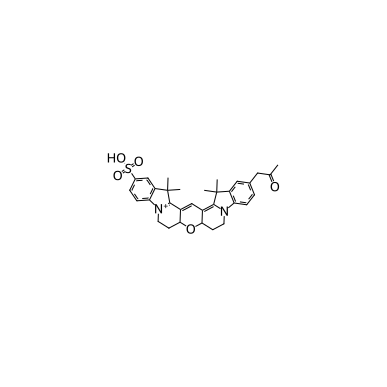 CC(=O)Cc1ccc2c(c1)C(C)(C)C1=C3C=C4C5=[N+](CCC4OC3CCN12)c1ccc(S(=O)(=O)O)cc1C5(C)C